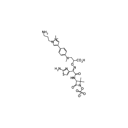 CN(CC(ON=C(C(=O)NC1C(=O)N(OS(=O)(=O)[O-])C1(C)C)c1csc(N)n1)C(=O)O)c1ccc(-c2cn(CCCN)[n+](C)c2)cc1